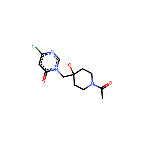 CC(=O)N1CCC(O)(Cn2cnc(Cl)cc2=O)CC1